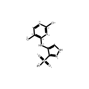 CC(C)S(=O)(=O)c1n[nH]cc1Nc1nc(Cl)ncc1Cl